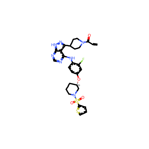 C=CC(=O)N1CCC(c2n[nH]c3ncnc(Nc4ccc(O[C@H]5CCCN(S(=O)(=O)c6cccs6)C5)cc4F)c23)CC1